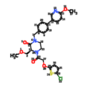 COC[C@H]1C(=O)N(Cc2ccc(-c3ccc(OC)nc3)cc2)CCN1C(=O)COc1ccc(Cl)s1